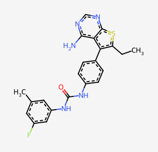 CCc1sc2ncnc(N)c2c1-c1ccc(NC(=O)Nc2cc(C)cc(F)c2)cc1